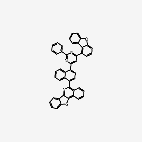 c1ccc(-c2nc(-c3ccc(-c4nc5c6ccccc6sc5c5ccccc45)c4ccccc34)cc(-c3cccc4oc5ccccc5c34)n2)cc1